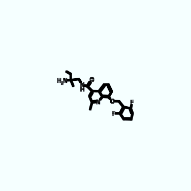 CCC(C)(N)CNC(=O)c1cc(C)nc2c(OCc3c(F)cccc3F)cccc12